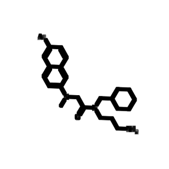 CC(=O)c1ccc2cc(N(C)CC(=O)N(CCCN)CC3CCCCC3)ccc2c1